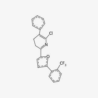 FC(F)(F)c1ccccc1-c1ccc(C2=NC(Cl)=C(c3ccccc3)CC2)o1